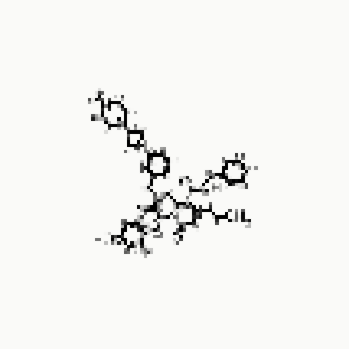 C=CCN1CC(=O)N2C(CN(Cc3cccc(N4CC(N5CCN(C)CC5)C4)n3)C(=O)[C@@H]2Cc2ccc(O)cc2F)N1C(=O)NCc1ccccc1